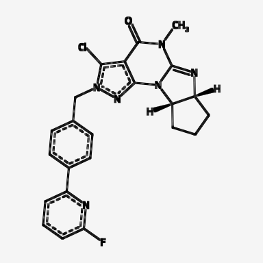 CN1C(=O)c2c(nn(Cc3ccc(-c4cccc(F)n4)cc3)c2Cl)N2C1=N[C@@H]1CCC[C@@H]12